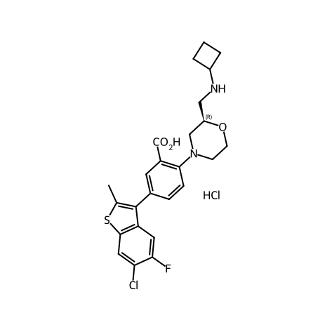 Cc1sc2cc(Cl)c(F)cc2c1-c1ccc(N2CCO[C@H](CNC3CCC3)C2)c(C(=O)O)c1.Cl